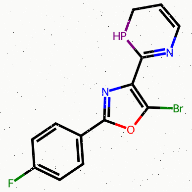 Fc1ccc(-c2nc(C3=NC=CCP3)c(Br)o2)cc1